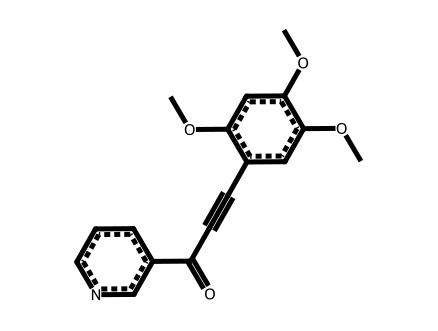 COc1cc(OC)c(OC)cc1C#CC(=O)c1cccnc1